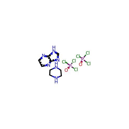 C1CNCCN1.O=P(Cl)(Cl)Cl.O=P(Cl)(Cl)Cl.c1cnc2[nH]cnc2n1